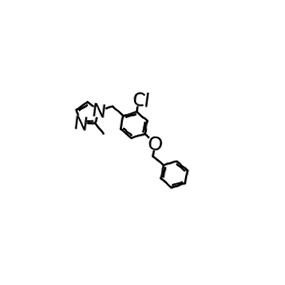 Cc1nccn1Cc1ccc(OCc2ccccc2)cc1Cl